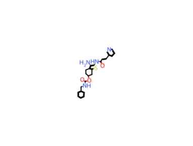 Nc1c(NC(=O)/C=C/c2cccnc2)sc2c1CCC(OC(=O)NCc1ccccc1)C2